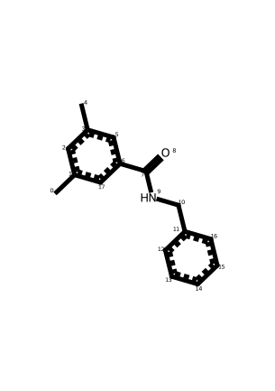 Cc1cc(C)cc(C(=O)NCc2ccccc2)c1